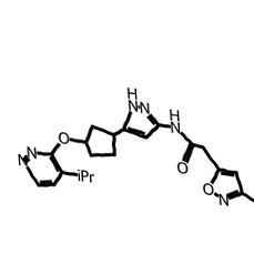 Cc1cc(CC(=O)Nc2cc(C3CCC(Oc4nnccc4C(C)C)C3)[nH]n2)on1